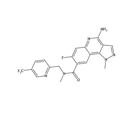 CN(Cc1ccc(C(F)(F)F)cn1)C(=O)c1cc2c(cc1F)nc(N)c1cnn(C)c12